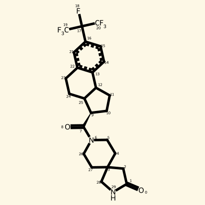 O=C1CC2(CCN(C(=O)[C@@H]3CCC4c5ccc(C(F)(C(F)(F)F)C(F)(F)F)cc5CCC43)CC2)CN1